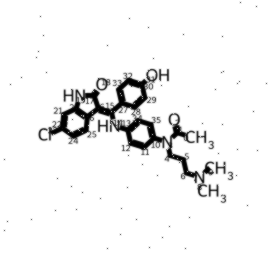 CC(=O)N(CCCN(C)C)c1ccc(NC(=C2C(=O)Nc3cc(Cl)ccc32)c2ccc(O)cc2)cc1